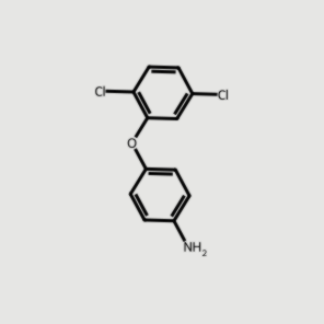 Nc1ccc(Oc2cc(Cl)ccc2Cl)cc1